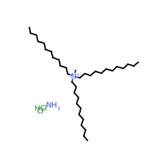 CCCCCCCCCCCC[N+](C)(CCCCCCCCCCCC)CCCCCCCCCCCC.Cl.N.[Cl-]